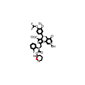 CCOc1cc([C@H](Cc2c(Cl)c[n+](O)cc2Cl)c2cc(CN(C(=O)O[C@H]3CN4CCC3CC4)c3ccccc3F)sc2C(=O)[O-])ccc1OC(F)F